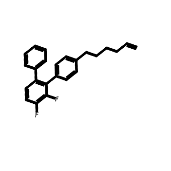 C=CCCCCc1ccc(-c2c(-c3ccccc3)ccc(F)c2F)cc1